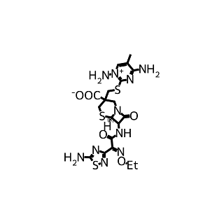 CCON=C(C(=O)NC1C(=O)N2CC(CSc3nc(N)c(C)c[n+]3N)(C(=O)[O-])CS[C@H]12)c1nsc(N)n1